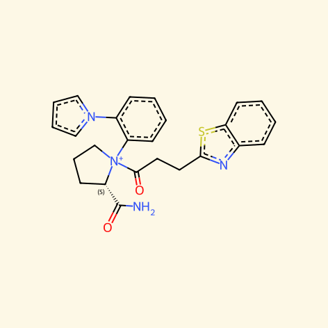 NC(=O)[C@@H]1CCC[N+]1(C(=O)CCc1nc2ccccc2s1)c1ccccc1-n1cccc1